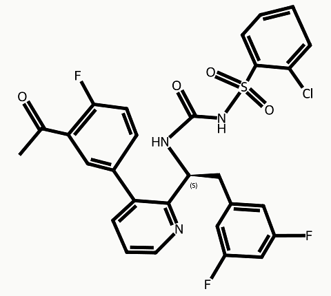 CC(=O)c1cc(-c2cccnc2[C@H](Cc2cc(F)cc(F)c2)NC(=O)NS(=O)(=O)c2ccccc2Cl)ccc1F